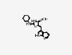 Cl.O=C1NC(NC2CCCCC2)=N/C1=C\c1c[nH]c2ncccc12